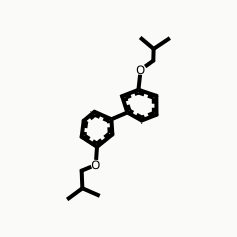 CC(C)COc1cc[c]c(-c2[c]ccc(OCC(C)C)c2)c1